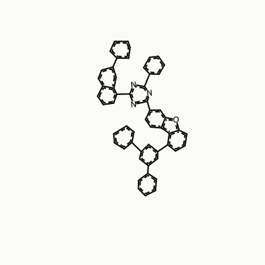 c1ccc(-c2cc(-c3ccccc3)cc(-c3cccc4oc5cc(-c6nc(-c7ccccc7)nc(-c7cccc8ccc(-c9ccccc9)cc78)n6)ccc5c34)c2)cc1